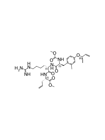 C=CC[C@H](NC(=O)[C@H](CCCCNC(=N)N)NC(=O)[C@H](Cc1ccc(O[C@H](I)C=C)cc1C)NC(=O)OC)C(=O)OC